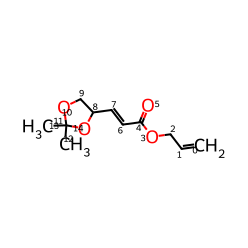 C=CCOC(=O)C=CC1COC(C)(C)O1